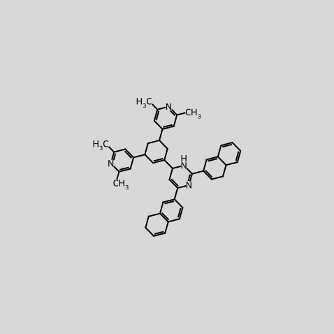 Cc1cc(C2C=C(C3C=C(c4ccc5c(c4)CCC=C5)N=C(C4=CCC5C=CC=CC5=C4)N3)CC(c3cc(C)nc(C)c3)C2)cc(C)n1